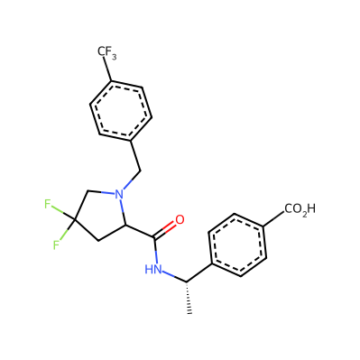 C[C@H](NC(=O)C1CC(F)(F)CN1Cc1ccc(C(F)(F)F)cc1)c1ccc(C(=O)O)cc1